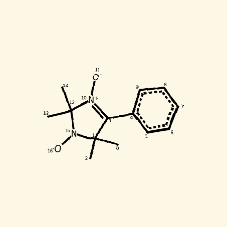 CC1(C)C(c2ccccc2)=[N+]([O-])C(C)(C)N1[O]